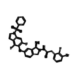 N=C1c2cc(Oc3c(F)cc4c(ccn4S(=O)(=O)c4ccccc4)c3F)ccc2CN1NC(=O)Cc1cccc(Br)c1F